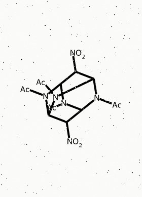 CC(=O)N1C2C([N+](=O)[O-])C3N(C(C)=O)C1C([N+](=O)[O-])C(N2C(C)=O)N3C(C)=O